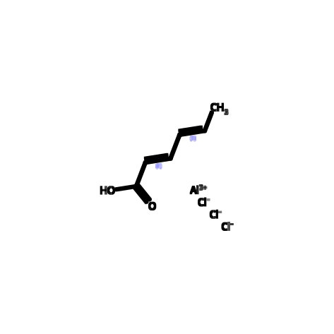 C/C=C/C=C/C(=O)O.[Al+3].[Cl-].[Cl-].[Cl-]